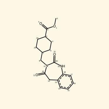 COC(=O)C1CCC(CN2C(=O)Cc3ccccc3NC2=O)CC1